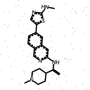 C=C(Nc1cc2cc(-c3cnc(NC)s3)ccc2cn1)C1CCN(C)CC1